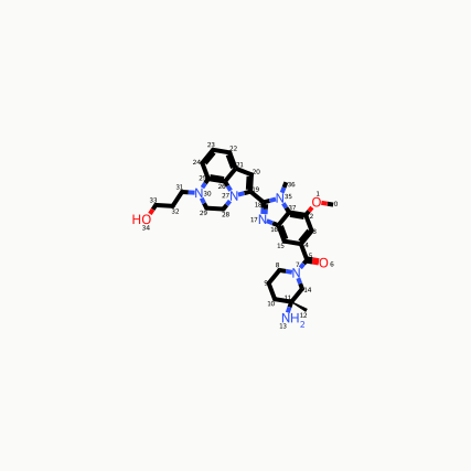 COc1cc(C(=O)N2CCC[C@@](C)(N)C2)cc2nc(-c3cc4cccc5c4n3CCN5CCCO)n(C)c12